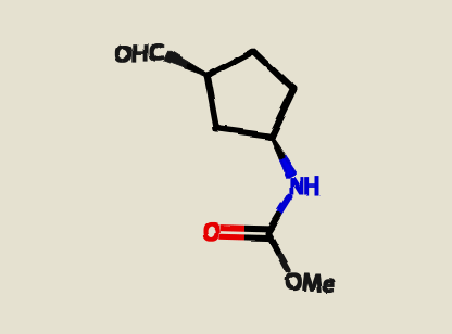 COC(=O)N[C@@H]1CC[C@H](C=O)C1